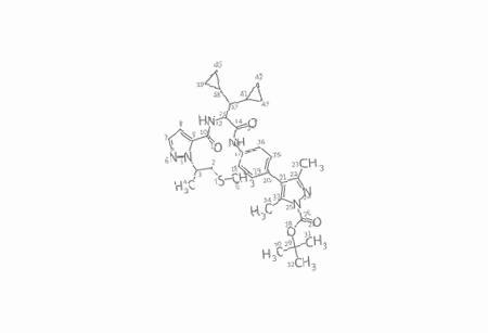 CSCC(C)n1nccc1C(=O)NC(C(=O)Nc1ccc(-c2c(C)nn(C(=O)OC(C)(C)C)c2C)cc1)C(C1CC1)C1CC1